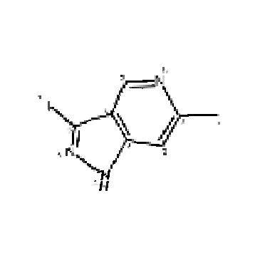 Cc1cc2[nH]nc(I)c2cn1